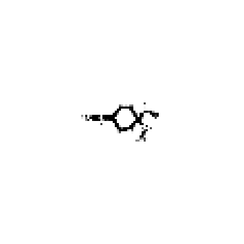 CCOC1(OCC)CCC(=C=O)CC1